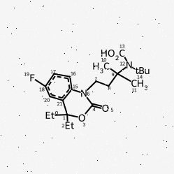 CCC1(CC)OC(=O)N(CCC(C)(C)N(C(=O)O)C(C)(C)C)c2ccc(F)cc21